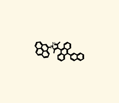 Cc1nn(-c2cc3cccc4ccc5cccc2c5c43)c(C)c1-c1c2ccccc2c(-c2ccc3ccccc3c2)c2ccccc12